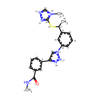 CNC(=O)c1cccc(-c2cn(-c3cccc(C(C)Sc4nncn4C)c3)nn2)c1